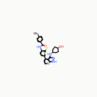 CC(C)(C)c1ccc(C(=O)Nc2ccc(-c3ccnc4[nH]nc(NC5CCC(O)CC5)c34)cc2F)cc1